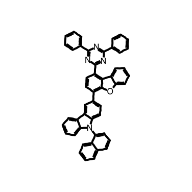 c1ccc(-c2nc(-c3ccccc3)nc(-c3ccc(-c4ccc5c(c4)c4ccccc4n5-c4cccc5ccccc45)c4oc5ccccc5c34)n2)cc1